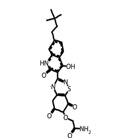 CC(C)(C)CCc1ccc2c(O)c(C3=NSC4=C(CC(=O)C(OCC(N)=O)C4=O)[N]3)c(=O)[nH]c2c1